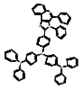 c1ccc(-c2nc3ccccc3c3nc(-c4ccc(N(c5ccc(N(c6ccccc6)c6ccccc6)cc5)c5ccc(N(c6ccccc6)c6ccccc6)cc5)cc4)n(-c4ccccc4)c23)cc1